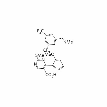 CNCc1cc(C(F)(F)F)cc(C(F)(F)F)c1.COc1ccccc1-c1nc(SC)ncc1C(=O)O